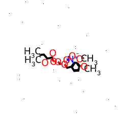 COc1ccc(COCOOC(=O)C(=O)CC(C)C)c([N+](=O)[O-])c1OC